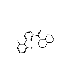 O=C(c1cccc(-c2c(F)cccc2F)n1)N1CCCC2CCCCC21